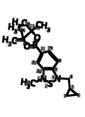 CN1SN(CC2CC2)c2ccc(B3OC(C)(C)C(C)(C)O3)cc21